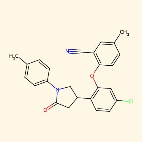 Cc1ccc(N2CC(c3ccc(Cl)cc3Oc3ccc(C)cc3C#N)CC2=O)cc1